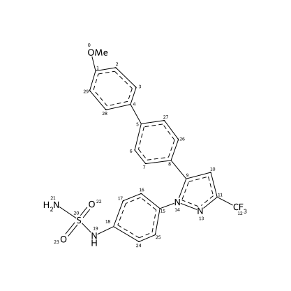 COc1ccc(-c2ccc(-c3cc(C(F)(F)F)nn3-c3ccc(NS(N)(=O)=O)cc3)cc2)cc1